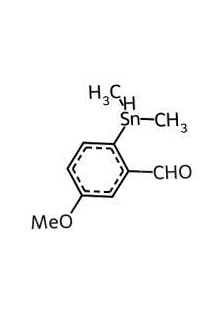 COc1cc[c]([SnH]([CH3])[CH3])c(C=O)c1